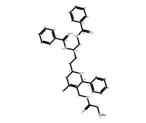 COCC(=O)OCC1=C(C)CC(CC[C@H](COC(=O)c2ccccc2)OC(=O)c2ccccc2)OC1c1ccccc1